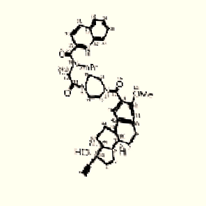 C#C[C@]1(O)CCC2[C@@H]3CCc4cc(OC)c(C(=O)N5CCN(C(=O)[C@H](C)N(CCC)C(=O)c6ccc7ccccc7n6)CC5)cc4C3CC[C@@]21C